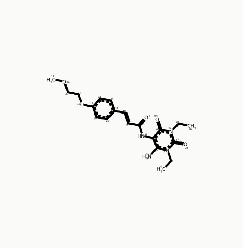 CCn1c(N)c(NC(=O)/C=C/c2ccc(OCCOC)cc2)c(=O)n(CC)c1=O